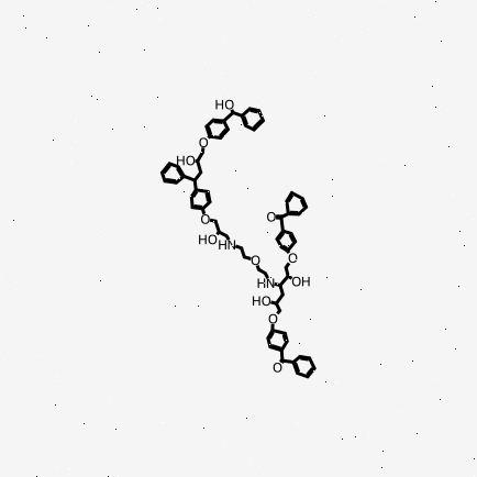 O=C(c1ccccc1)c1ccc(OCC(O)CC(NCCOCCNCC(O)COc2ccc(C(CC(O)COc3ccc(C(O)c4ccccc4)cc3)c3ccccc3)cc2)C(O)COc2ccc(C(=O)c3ccccc3)cc2)cc1